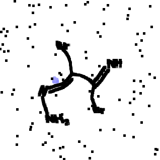 N=C(Br)/C(Br)=N\N